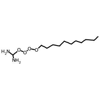 CCCCCCCCCCCOOOOC(N)N